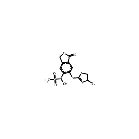 CCC1CSC(Sc2cc3c(cc2N(C)S(C)(=O)=O)COC3=O)=N1